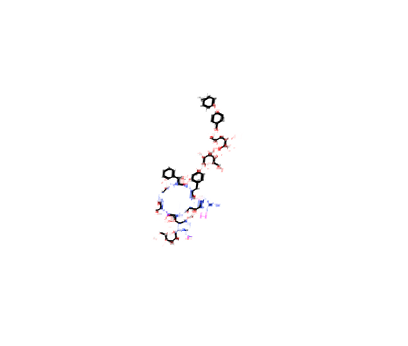 CCC(c1ccccc1)C1NC(=O)CNC(=O)C(CO)NC(=O)C(C(O)C2CNC(=N)N2C2OC(CO)C(O)C(O)C2O)NC(=O)C(C(O)C2CNC(=N)N2)NC(=O)C(Cc2ccc(OC3OC(CO)C(OC4OC5COC(c6ccc(Oc7ccc(C(C)(C)C)cc7)cc6)OC5C(O)C4O)C(O)C3O)cc2)NC1=O